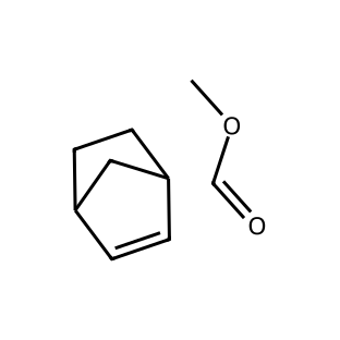 C1=CC2CCC1C2.COC=O